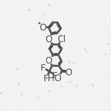 COc1ccccc1Oc1cc2c(cc1Cl)C=C(C(=O)O)C(C(F)(F)F)O2